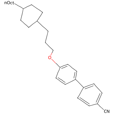 CCCCCCCCC1CCC(CCCOc2ccc(-c3ccc(C#N)cc3)cc2)CC1